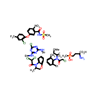 CC1COc2ccccc2N1C(=O)C(Cl)Cl.CCNc1nc(Cl)nc(NC(C)C)n1.CCc1cccc(C)c1N(C(=O)CCl)C(C)COC.CP(=O)(O)CCC(N)C(=O)O.CS(=O)(=O)NC(=O)c1cc(Oc2ccc(C(F)(F)F)cc2Cl)ccc1[N+](=O)[O-]